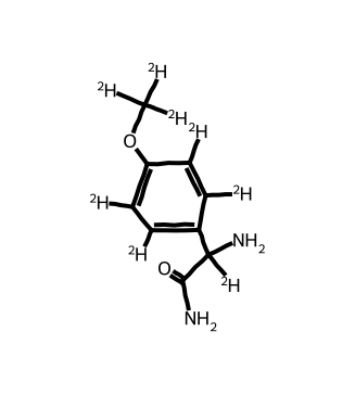 [2H]c1c([2H])c(C([2H])(N)C(N)=O)c([2H])c([2H])c1OC([2H])([2H])[2H]